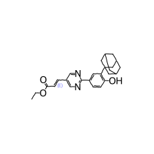 CCOC(=O)/C=C/c1cnc(-c2ccc(O)c(C34CC5CC(CC(C5)C3)C4)c2)nc1